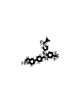 O=C(C1CC1)N1CC[C@@H](Cn2c(-c3ccc(-c4ccc5[nH]ccc5c4)cc3)nc3cc(C(F)(F)F)ccc32)C1